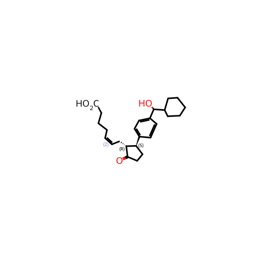 O=C(O)CCC/C=C\C[C@H]1C(=O)CC[C@@H]1c1ccc(C(O)C2CCCCC2)cc1